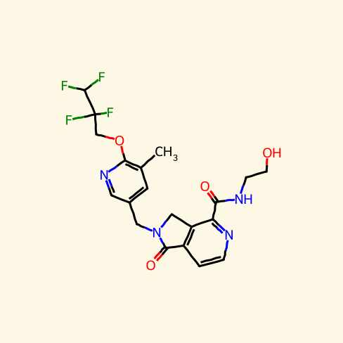 Cc1cc(CN2Cc3c(ccnc3C(=O)NCCO)C2=O)cnc1OCC(F)(F)C(F)F